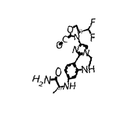 C[C@H](Nc1ccc2c(c1)NCCn1cc(N3C(=C=O)OC[C@H]3C(F)F)nc1-2)C(N)=O